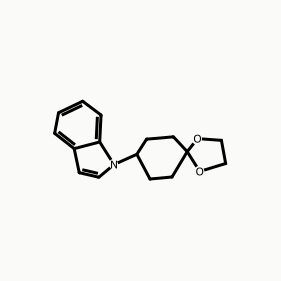 c1ccc2c(c1)ccn2C1CCC2(CC1)OCCO2